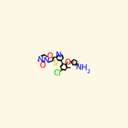 Cc1cc(Cl)cc(-c2ccnc3cc(Cn4c(=O)ccn(C)c4=O)sc23)c1O[C@@H]1CC[C@@H](N)C1